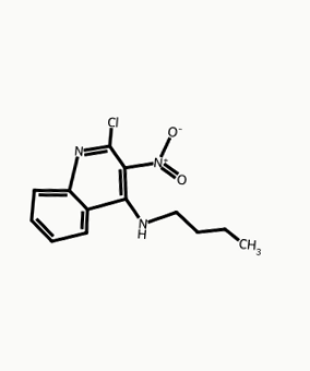 CCCCNc1c([N+](=O)[O-])c(Cl)nc2ccccc12